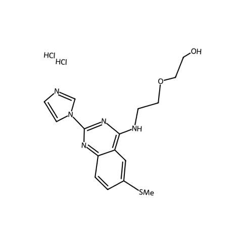 CSc1ccc2nc(-n3ccnc3)nc(NCCOCCO)c2c1.Cl.Cl